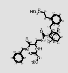 CC(C)(C)OC(=O)NC(CNC(=O)[C@H]1[C@@H](Cc2ccccc2CCC(=O)O)[C@@H]2CC[C@H]1O2)C(=O)OCc1ccccc1